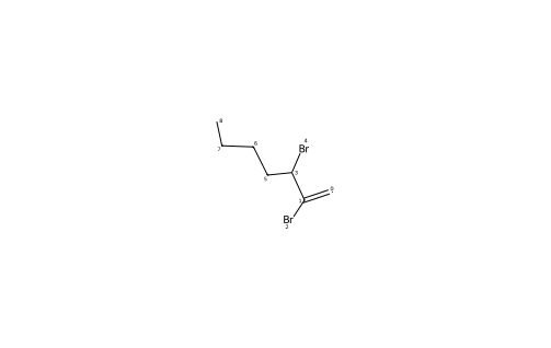 [CH]=C(Br)C(Br)CCCC